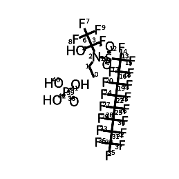 CCN(C(O)(F)C(F)(F)F)S(=O)(=O)C(F)(F)C(F)(F)C(F)(F)C(F)(F)C(F)(F)C(F)(F)C(F)(F)C(F)(F)F.O=P(O)(O)O